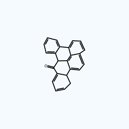 O=C1C2=CC=CCC2c2ccc3cccc4c3c2C1c1ccccc1-4